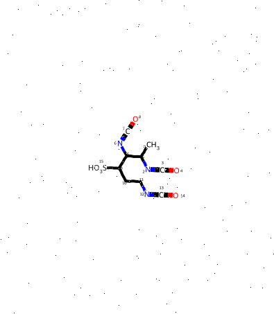 CC(N=C=O)C(N=C=O)C(CCN=C=O)S(=O)(=O)O